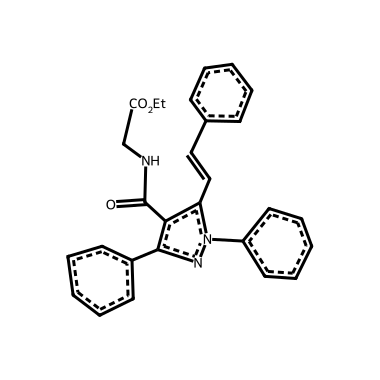 CCOC(=O)CNC(=O)c1c(-c2ccccc2)nn(-c2ccccc2)c1/C=C/c1ccccc1